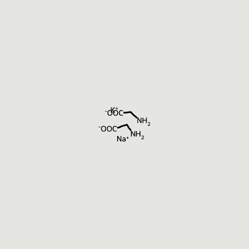 NCC(=O)[O-].NCC(=O)[O-].[K+].[Na+]